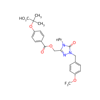 CCCn1c(COC(=O)c2ccc(OC(C)(C)C(=O)O)cc2)nn(Cc2ccc(OC(F)(F)F)cc2)c1=O